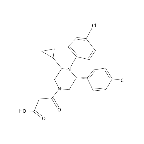 O=C(O)CC(=O)N1CC(C2CC2)N(c2ccc(Cl)cc2)[C@H](c2ccc(Cl)cc2)C1